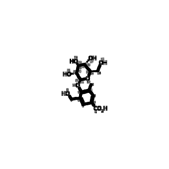 Cc1cc(C(=O)O)cc(CO)c1O[C@@H]1O[C@H](CO)[C@@H](O)[C@H](O)[C@H]1O